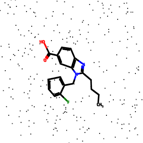 CCCCc1nc2ccc(C(=O)O)cc2n1Cc1ccccc1F